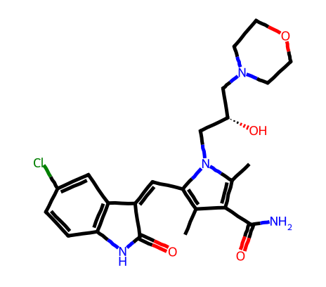 Cc1c(C(N)=O)c(C)n(C[C@@H](O)CN2CCOCC2)c1/C=C1\C(=O)Nc2ccc(Cl)cc21